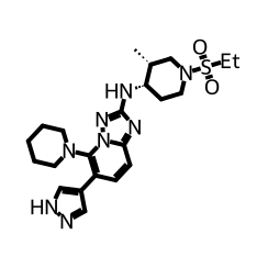 CCS(=O)(=O)N1CC[C@H](Nc2nc3ccc(-c4cn[nH]c4)c(N4CCCCC4)n3n2)[C@H](C)C1